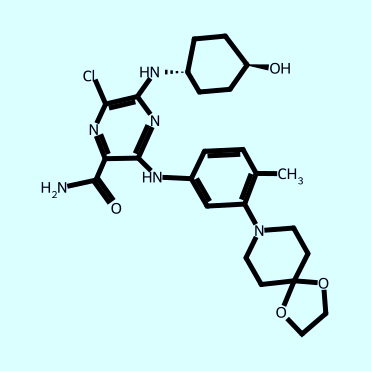 Cc1ccc(Nc2nc(N[C@H]3CC[C@H](O)CC3)c(Cl)nc2C(N)=O)cc1N1CCC2(CC1)OCCO2